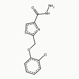 NNC(=O)c1csc(COc2ccccc2Cl)n1